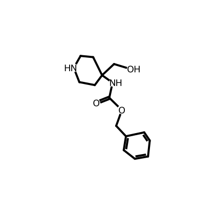 O=C(NC1(CO)CCNCC1)OCc1ccccc1